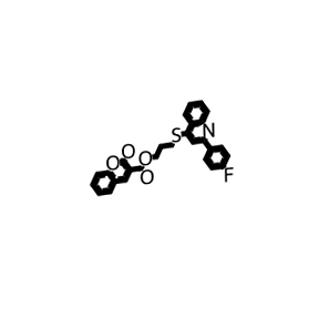 O=C(OCCCSc1cc(-c2ccc(F)cc2)nc2ccccc12)c1cc2ccccc2oc1=O